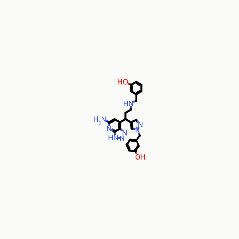 Nc1cc(C(CCNCc2cccc(O)c2)c2cnn(Cc3cccc(O)c3)c2)c2nn[nH]c2n1